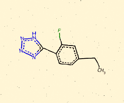 CCc1ccc(-c2nnn[nH]2)c(F)c1